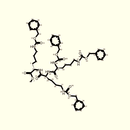 COC(=O)[C@H](CCCCNC(=O)OCc1ccccc1)NC(=O)[C@H](CCCCNC(=O)OCc1ccccc1)NC(=O)[C@H](CCCCNC(=O)OCc1ccccc1)NC(=O)OCc1ccccc1